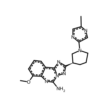 COc1cccc2c1nc(N)n1nc([C@@H]3CCCN(c4cnc(C)cn4)C3)nc21